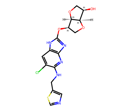 O[C@@H]1CO[C@H]2[C@@H]1OC[C@H]2Oc1nc2nc(NCc3cncs3)c(Cl)cc2[nH]1